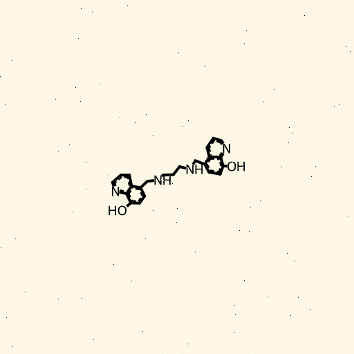 Oc1ccc(CNCCCNCc2ccc(O)c3ncccc23)c2cccnc12